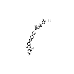 CC(C)(C(=O)Nc1ccc(C#N)c(C(F)(F)F)c1)n1cc(C2CCN(C3CCC4(CC3)CN(c3ccc5c(c3)C(=O)N(C3CCC(=O)NC3=O)C5=O)C4)CC2)cn1